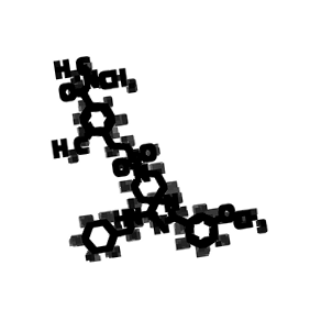 Cc1cc(C(=O)N(C)C)ccc1CCS(=O)(=O)N1CCC2(CC1)N=C(c1cccc(OC(F)(F)F)c1)N=C2NCC1CCCCC1